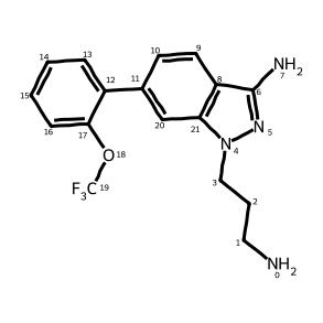 NCCCn1nc(N)c2ccc(-c3ccccc3OC(F)(F)F)cc21